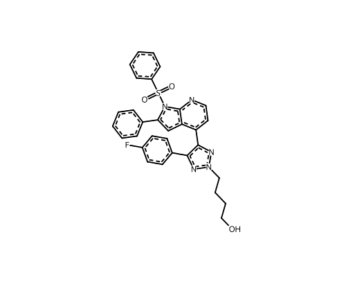 O=S(=O)(c1ccccc1)n1c(-c2ccccc2)cc2c(-c3nn(CCCCO)nc3-c3ccc(F)cc3)ccnc21